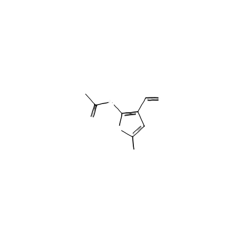 CC(=O)Nc1sc(Cl)cc1C=O